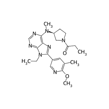 CCC(=O)N1CC[C@H](N(C)c2ncnc3c2nc(-c2cnc(OC)c(C)c2)n3CC)C1